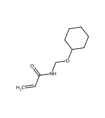 C=CC(=O)NCOC1CCCCC1